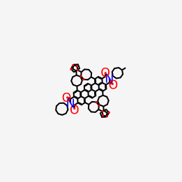 CC1CCCC(N2C(=O)c3cc(C4CCCC(C5CCCC5)CCC4)c4c5ccc6c7c(C8CCCC(C9CCCC9)CCC8)cc8c9c(cc(C%10CCCC(C%11CCCC%11)CCC%10)c(c%10ccc(c%11c(C%12CCCC(C%13CCCC%13)CCC%12)cc(c3c4%11)C2=O)c5c6%10)c97)C(=O)N(C2CCCCCCCC2)C8=O)CCC1